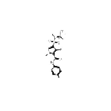 C[C@@H](N(C)S(=O)(=O)c1cn(C)c(C(=O)Nc2ccc(F)cc2)c1F)C(F)(F)F